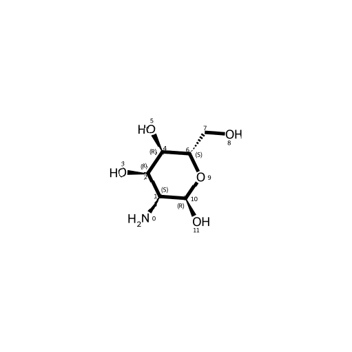 N[C@H]1[C@@H](O)[C@@H](O)[C@H](CO)O[C@H]1O